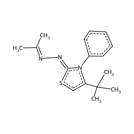 CC(C)=N/N=c1\scc(C(C)(C)C)n1-c1ccccc1